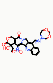 CC[C@@]1(O)C(=O)OCc2c1c([N+](=O)[O-])c1n(c2=O)Cc2c-1nc1ccccc1c2/C=N/N1CCOCOC1